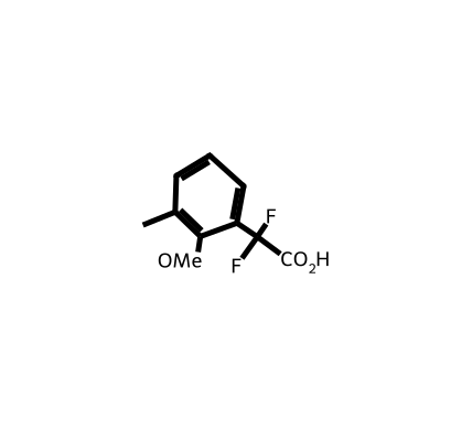 COc1c(C)cccc1C(F)(F)C(=O)O